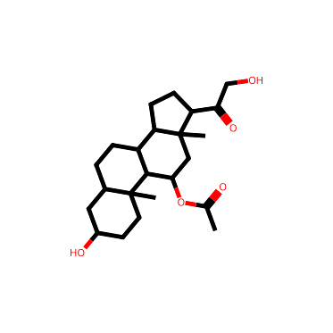 CC(=O)OC1CC2(C)C(C(=O)CO)CCC2C2CCC3CC(O)CCC3(C)C12